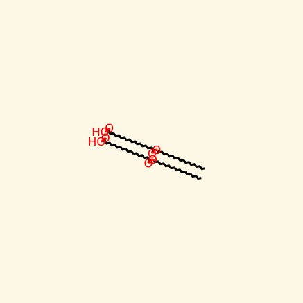 CCCCCCCCCCCCCCCCCCOC(=O)CCCCCCCCCCCCCCCCC(=O)O.CCCCCCCCCCCCCCCCCCOC(=O)CCCCCCCCCCCCCCCCC(=O)O